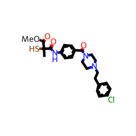 COC(=O)C(C)(S)C(=O)Nc1ccc(C(=O)N2CCN(CCc3ccc(Cl)cc3)CC2)cc1